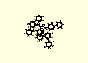 c1ccc(-c2ccc(-c3nc(-c4ccccc4)nc(-n4c5ccccc5c5ccc6c7ccccc7n(-c7ccc(-c8cccc(-c9ccccc9)c8)cc7)c6c54)n3)cc2)cc1